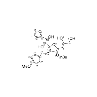 CCCCOC1C(CC(O)CO)O[C@@H]([C@H](O)[C@@H](O)c2ccco2)[C@@H]1OCc1ccc(OC)cc1